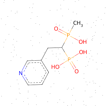 CP(=O)(O)C(Cc1cccnc1)P(=O)(O)O